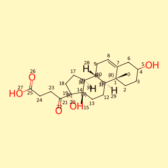 C[C@]12CCC(O)CC1=CC[C@@H]1[C@@H]2CC[C@@]2(C)[C@H]1CC[C@]2(O)C(=O)CCC(=O)O